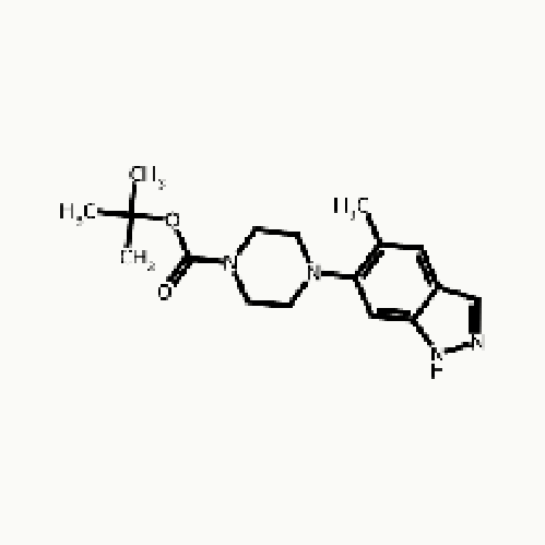 Cc1cc2cn[nH]c2cc1N1CCN(C(=O)OC(C)(C)C)CC1